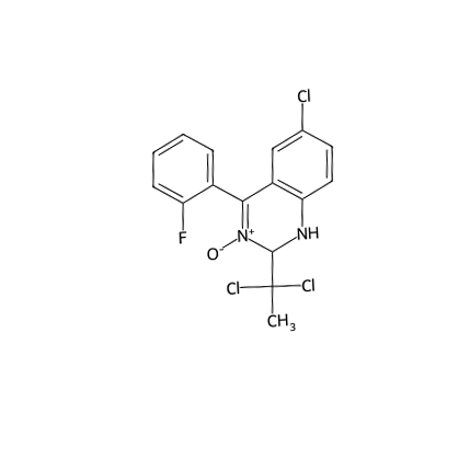 CC(Cl)(Cl)C1Nc2ccc(Cl)cc2C(c2ccccc2F)=[N+]1[O-]